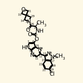 C[C@@H](NC(=O)Oc1c[nH]c2ncc(-c3nn(C)c4cc(Cl)ccc34)nc12)C(=O)N1CC2(COC2)C1